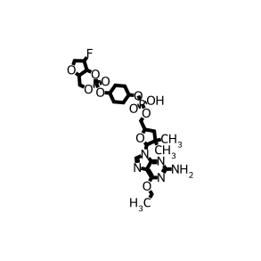 CCOc1nc(N)nc2c1ncn2C1OC(COP(=O)(O)OC2CCC(OP3(=O)OCC4OCC(F)C4O3)CC2)CC1(C)C